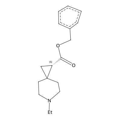 CCN1CCC2(CC1)C[C@@H]2C(=O)OCc1ccccc1